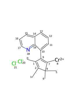 CC1=C(C)C(C)(C)[C]([Cr+2])=C1c1cccc2cccnc12.[Cl-].[Cl-]